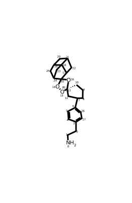 NCCc1ccc(C2CCC[C@]3(C2)OOC2(O3)C3CC4CC(C3)CC2C4)cc1